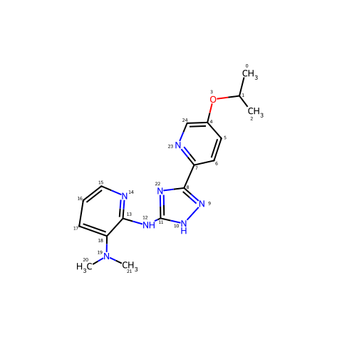 CC(C)Oc1ccc(-c2n[nH]c(Nc3ncccc3N(C)C)n2)nc1